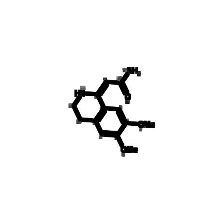 COc1cc2c(cc1OC)/C(=C\C(N)=O)NCC2